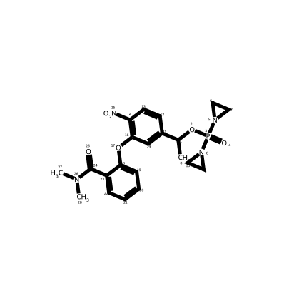 CC(OP(=O)(N1CC1)N1CC1)c1ccc([N+](=O)[O-])c(Oc2ccccc2C(=O)N(C)C)c1